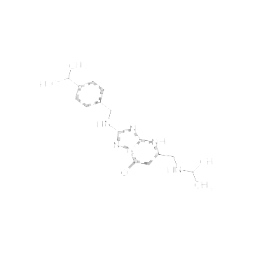 CC(C)NCc1cc(=O)n2nc(NCc3ccc(C(C)C)cc3)nc2[nH]1